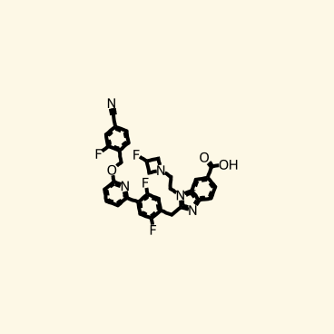 N#Cc1ccc(COc2cccc(-c3cc(F)c(Cc4nc5ccc(C(=O)O)cc5n4CCN4CC(F)C4)cc3F)n2)c(F)c1